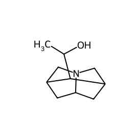 CC(O)C1C2CC3CC1CN3C2